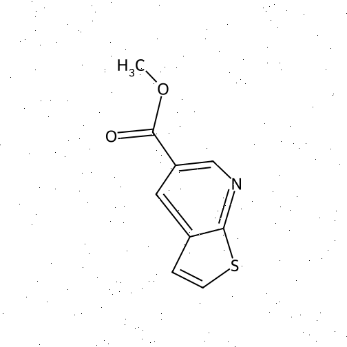 COC(=O)c1cnc2sccc2c1